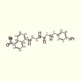 CC(C)c1ccc(CNCC(=O)NCCNc2cccc3c([SH](=O)=O)cccc23)cc1